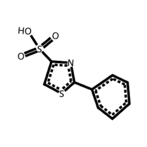 O=S(=O)(O)c1csc(-c2ccccc2)n1